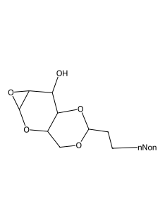 CCCCCCCCCCCC1OCC2OC3OC3C(O)C2O1